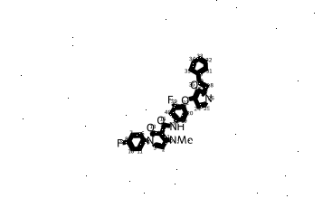 CNc1ccn(-c2ccc(F)cc2)c(=O)c1C(=O)Nc1ccc(Oc2ccnc3cc(-c4ccccc4)oc23)c(F)c1